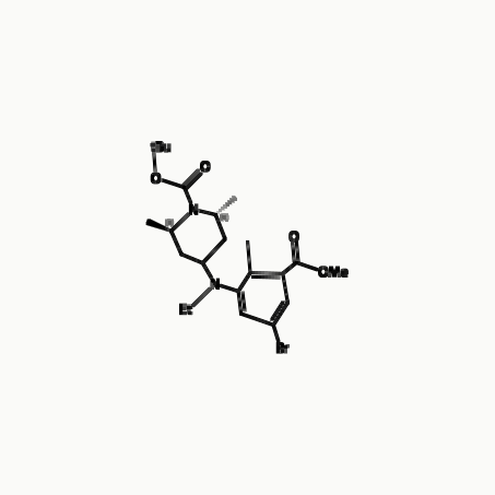 CCN(c1cc(Br)cc(C(=O)OC)c1C)C1C[C@@H](C)N(C(=O)OC(C)(C)C)[C@H](C)C1